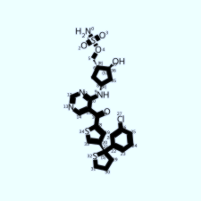 NS(=O)(=O)OC[C@H]1C[C@@H](Nc2ncncc2C(=O)c2cc([C@@]3(c4cccc(Cl)c4)CCCS3)cs2)C[C@@H]1O